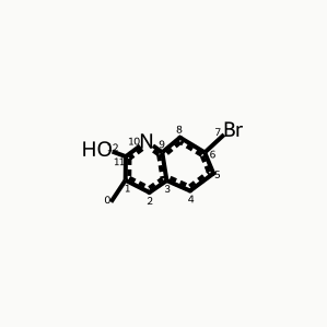 Cc1cc2ccc(Br)cc2nc1O